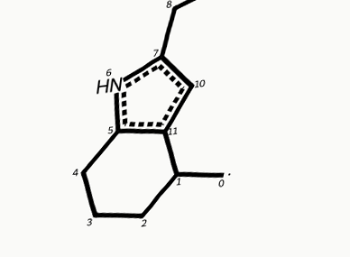 [CH2]C1CCCc2[nH]c(CC)cc21